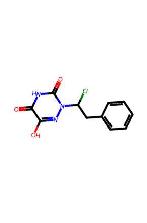 O=c1[nH]c(=O)n(C(Cl)Cc2ccccc2)nc1O